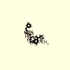 CC(C)n1nccc1-c1cn2c3c(cccc13)N(C)C(=O)C(NC(=O)c1nnc(Cc3ccccc3)[nH]1)C2